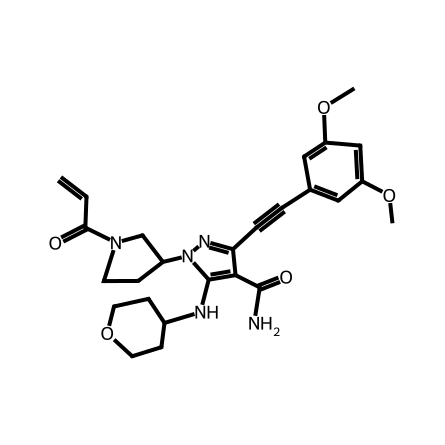 C=CC(=O)N1CCC(n2nc(C#Cc3cc(OC)cc(OC)c3)c(C(N)=O)c2NC2CCOCC2)C1